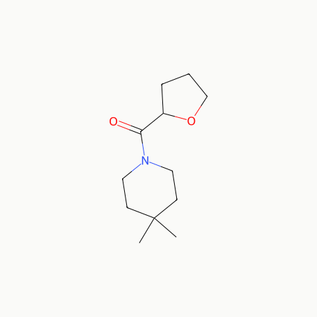 CC1(C)CCN(C(=O)C2CCCO2)CC1